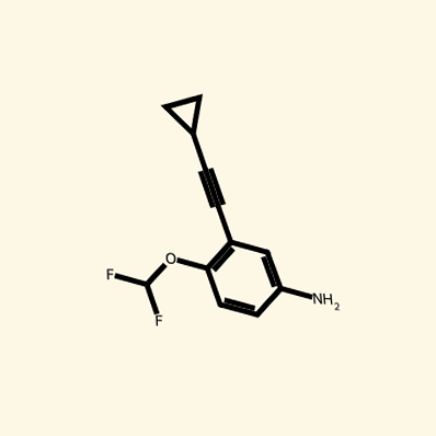 Nc1ccc(OC(F)F)c(C#CC2CC2)c1